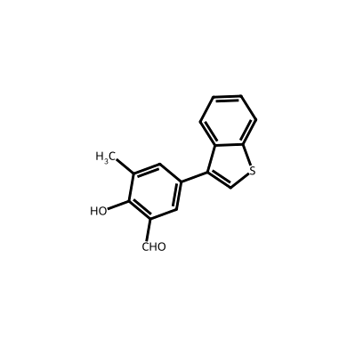 Cc1cc(-c2csc3ccccc23)cc(C=O)c1O